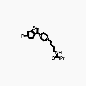 CC(C)C(=O)NCCCCN1CCN(c2csc3cc(F)ccc23)CC1